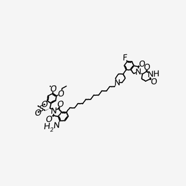 CCOc1cc([C@@H](CS(C)(=O)=O)N2C(=O)c3c(N)ccc(CCCCCCCCCCCCN4CCC(c5cc(F)cc6c5CN([C@H]5CCC(=O)NC5=O)C6=O)CC4)c3C2=O)ccc1OC